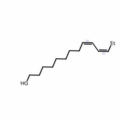 CC/C=C\C=C/CCCCCCCCO